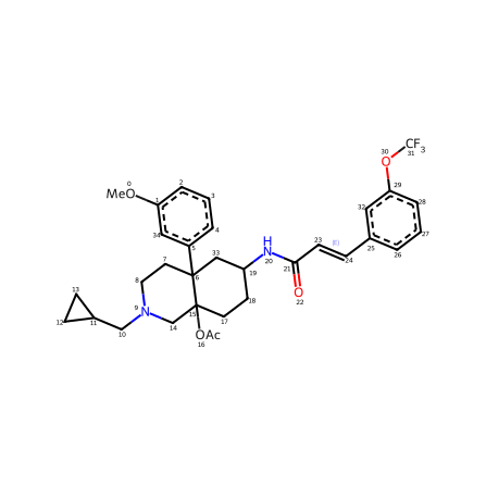 COc1cccc(C23CCN(CC4CC4)CC2(OC(C)=O)CCC(NC(=O)/C=C/c2cccc(OC(F)(F)F)c2)C3)c1